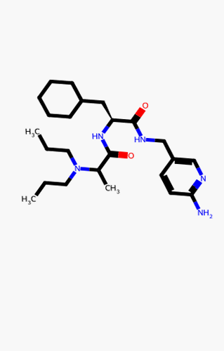 CCCN(CCC)C(C)C(=O)N[C@@H](CC1CCCCC1)C(=O)NCc1ccc(N)nc1